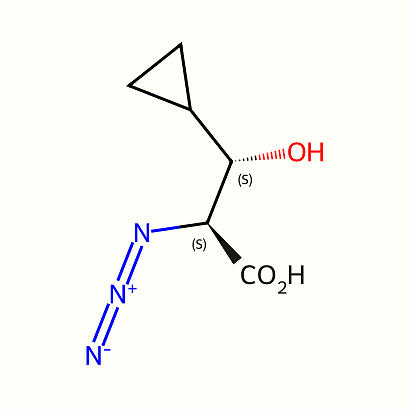 [N-]=[N+]=N[C@H](C(=O)O)[C@@H](O)C1CC1